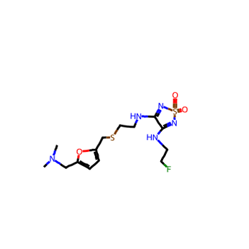 CN(C)Cc1ccc(CSCCNC2=NS(=O)(=O)N=C2NCCF)o1